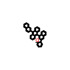 C[C@]12C=CC=CC1c1cc3ccccc3c(-c3c4ccccc4c(-c4ccc5ccccc5c4)c4ccccc34)c1O2